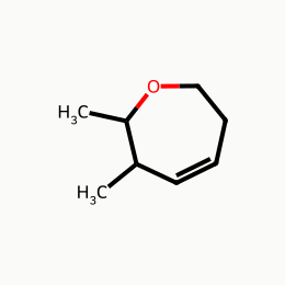 CC1C=CCCOC1C